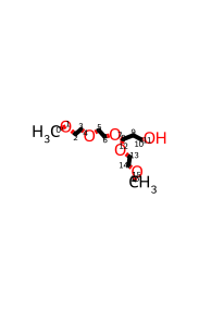 COCCOCCOC(CCO)OCCOC